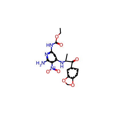 CCOC(=O)Nc1cc(NC(C)C(=O)c2ccc3c(c2)OCO3)c([N+](=O)[O-])c(N)n1